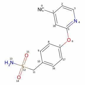 N#Cc1ccnc(Oc2ccc(CS(N)(=O)=O)cc2)c1